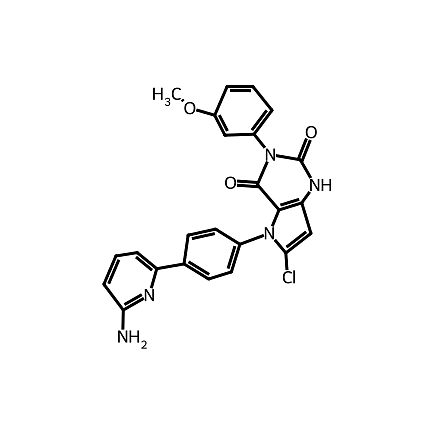 COc1cccc(-n2c(=O)[nH]c3cc(Cl)n(-c4ccc(-c5cccc(N)n5)cc4)c3c2=O)c1